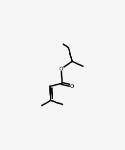 CCC(C)OC(=O)C=C(C)C